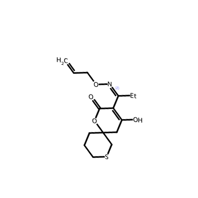 C=CCO/N=C(/CC)C1=C(O)CC2(CCCSC2)OC1=O